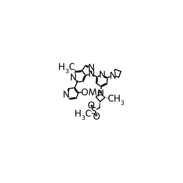 COc1ccncc1-c1cc2c(cnn2-c2cc(N3C[C@H](CS(C)(=O)=O)[C@H]3C)cc(N3CCC3)n2)c(C)n1